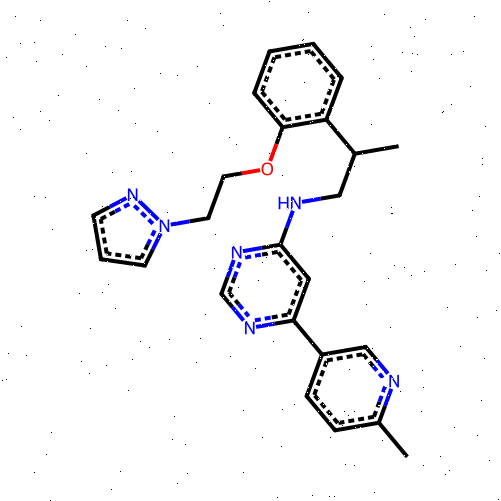 Cc1ccc(-c2cc(NCC(C)c3ccccc3OCCn3cccn3)ncn2)cn1